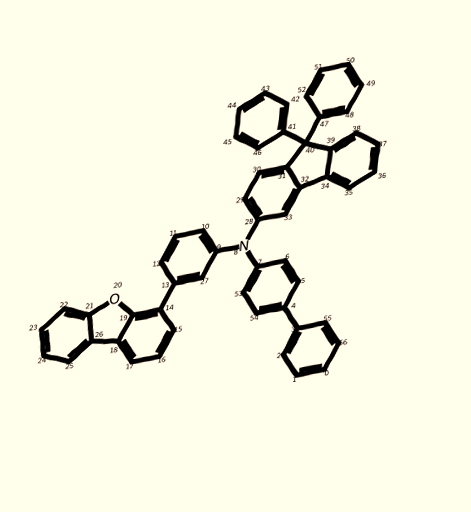 c1ccc(-c2ccc(N(c3cccc(-c4cccc5c4oc4ccccc45)c3)c3ccc4c(c3)-c3ccccc3C4(c3ccccc3)c3ccccc3)cc2)cc1